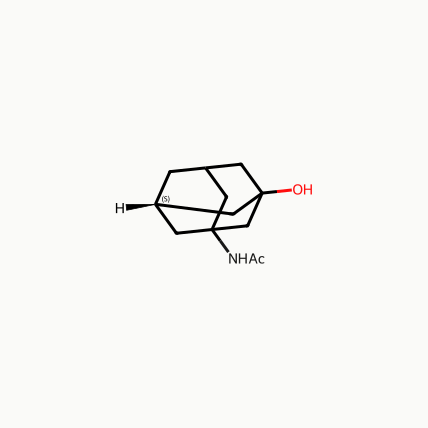 [CH2]C(=O)NC12CC3C[C@H](CC(O)(C3)C1)C2